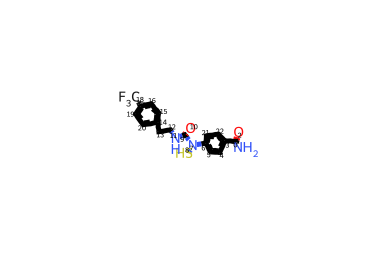 NC(=O)c1ccc(N(S)C(=O)NCCc2ccc(C(F)(F)F)cc2)cc1